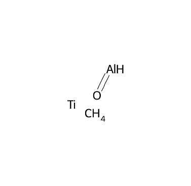 C.[O]=[AlH].[Ti]